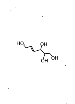 OC/C=C/C(O)C(O)CO